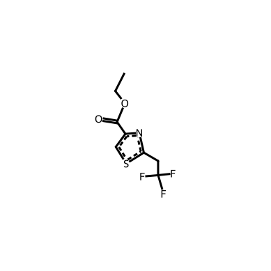 CCOC(=O)c1csc(CC(F)(F)F)n1